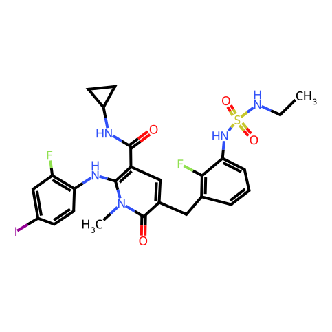 CCNS(=O)(=O)Nc1cccc(Cc2cc(C(=O)NC3CC3)c(Nc3ccc(I)cc3F)n(C)c2=O)c1F